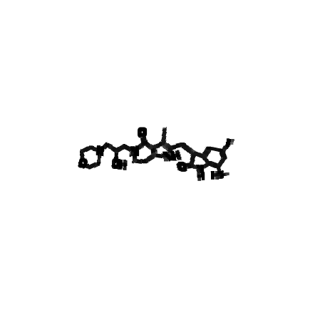 CBc1cc(F)cc2c1NC(=O)/C2=C\c1[nH]c2c(c1C)C(=O)N(C[C@@H](O)CN1CCOCC1)CC2